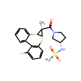 C[C@]1(C(=O)N2CC[C@H](NS(C)(=O)=O)C2)C[C@@H]1c1ccccc1-c1c(F)cccc1F